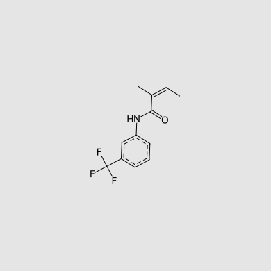 C/C=C(/C)C(=O)Nc1cccc(C(F)(F)F)c1